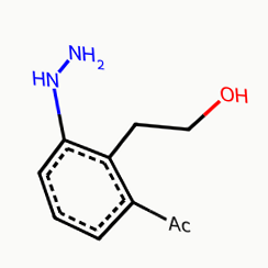 CC(=O)c1cccc(NN)c1CCO